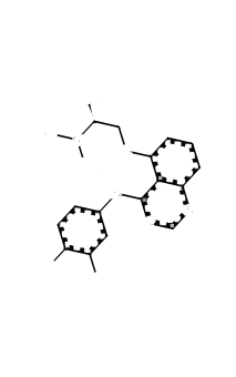 CC(=O)N(C)[C@@H](C)COc1cccc2ncnc(Nc3ccc(O)c(Cl)c3)c12